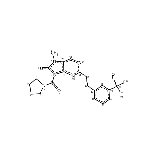 Cn1c(=O)n(C(=O)N2CCCC2)c2nc(CCc3cccc(C(F)(F)F)c3)ncc21